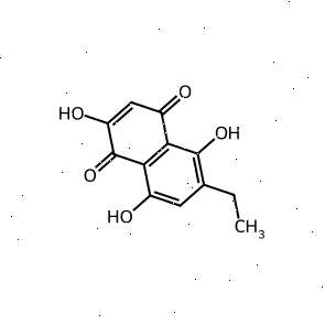 CCc1cc(O)c2c(c1O)C(=O)C=C(O)C2=O